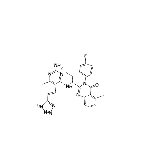 CCC(Nc1nc(N)nc(C)c1C=Cc1nnn[nH]1)c1nc2cccc(C)c2c(=O)n1-c1ccc(F)cc1